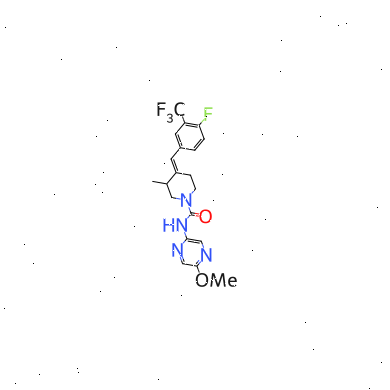 COc1cnc(NC(=O)N2CCC(=Cc3ccc(F)c(C(F)(F)F)c3)C(C)C2)cn1